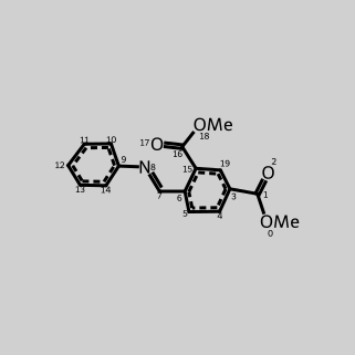 COC(=O)c1ccc(C=Nc2ccccc2)c(C(=O)OC)c1